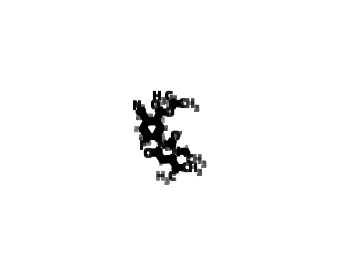 CCn1c(C(C)C)cc(=O)n(-c2cc(C(=O)OC(C)C)c(C#N)cc2F)c1=O